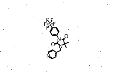 CC1(C)C(=O)N(c2ccc(S(F)(F)(F)(F)F)cc2)C(=O)N1Cc1ccncc1